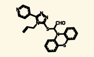 C=CCn1c(SC(C=O)N2c3ccccc3Sc3ccccc32)nnc1-c1ccncc1